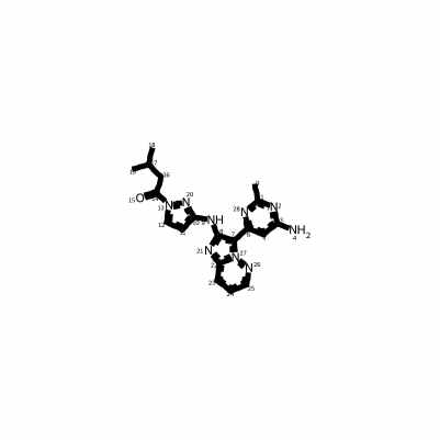 Cc1nc(N)cc(-c2c(Nc3ccn(C(=O)CC(C)C)n3)nc3cccnn23)n1